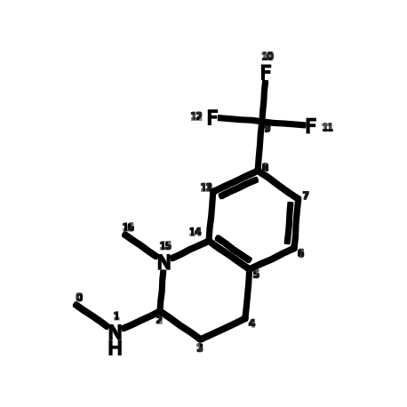 CNC1CCc2ccc(C(F)(F)F)cc2N1C